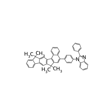 CC1(C)c2ccccc2-c2cc3c(cc21)-c1c(cc(-c2ccc(-n4c(-c5ccccc5)nc5ccccc54)cc2)c2ccccc12)C3(C)C